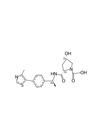 Cc1ncsc1-c1ccc([C@H](C)NC(=O)[C@@H]2C[C@H](O)CN2C(=O)O)cc1